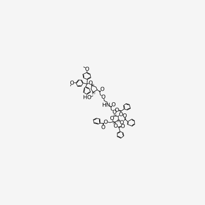 COc1ccc(C(O[C@H]2CC(C(=O)COCCNC(=O)CO[C@H]3OC(COC(=O)c4ccccc4)[C@@H](OC(=O)c4ccccc4)[C@H](OC(=O)c4ccccc4)C3OC(=O)c3ccccc3)[C@H](CO)C2)(c2ccccc2)c2ccc(OC)cc2)cc1